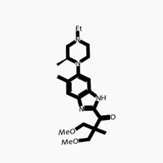 CCN1CCN(c2cc3[nH]c(C(=O)C(C)(COC)COC)nc3cc2C)[C@@H](C)C1